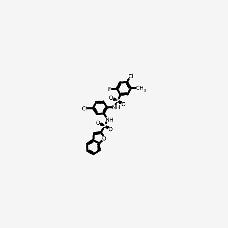 Cc1cc(S(=O)(=O)Nc2ccc(Cl)cc2NS(=O)(=O)c2cc3ccccc3o2)c(F)cc1Cl